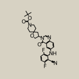 CC(C)(C)OC(=O)N1CCC2(CC1)CC(n1cnc3ccc(Nc4c(F)ccc(F)c4C#N)cc3c1=O)CO2